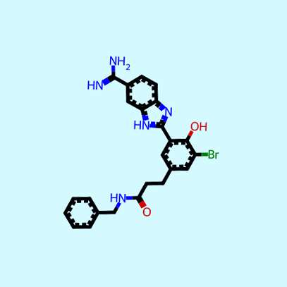 N=C(N)c1ccc2nc(-c3cc(CCC(=O)NCc4ccccc4)cc(Br)c3O)[nH]c2c1